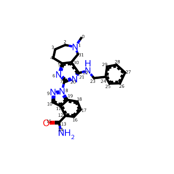 CN1CCCc2nc(-n3ncc4c(C(N)=O)cccc43)nc(NCc3ccccc3)c2C1